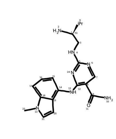 CC(C)[C@H](N)CNc1ncc(C(N)=O)c(Nc2cccc3c2ccn3C)n1